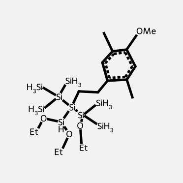 CCO[SiH](OCC)[Si](CCc1cc(C)c(OC)cc1C)([Si]([SiH3])([SiH3])[SiH3])[Si]([SiH3])([SiH3])OCC